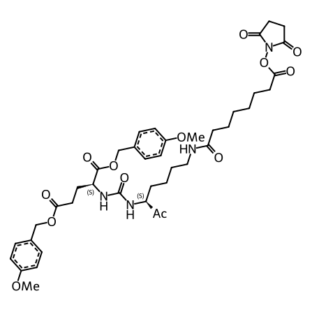 COc1ccc(COC(=O)CC[C@H](NC(=O)N[C@@H](CCCCNC(=O)CCCCCCC(=O)ON2C(=O)CCC2=O)C(C)=O)C(=O)OCc2ccc(OC)cc2)cc1